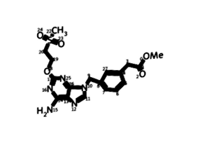 COC(=O)Cc1cccc(Cn2cnc3c(N)nc(OCCS(C)(=O)=O)nc32)c1